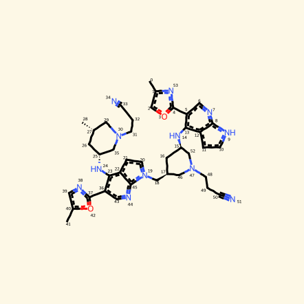 Cc1coc(-c2cnc3[nH]ccc3c2N[C@@H]2C[C@H](Cn3ccc4c(N[C@@H]5C[C@H](C)CN(CCC#N)C5)c(-c5ncc(C)o5)cnc43)CN(CCC#N)C2)n1